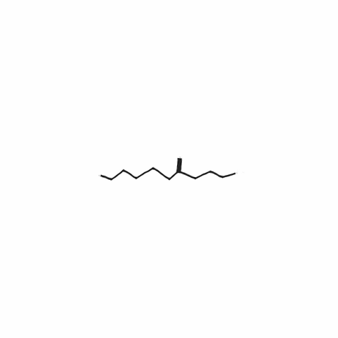 O=C(CCCO)CCCCCO